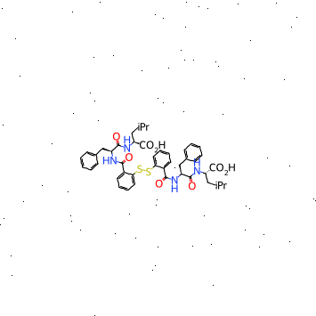 CC(C)C[C@H](NC(=O)[C@H](Cc1ccccc1)NC(=O)c1ccccc1SSc1ccccc1C(=O)N[C@@H](Cc1ccccc1)C(=O)N[C@@H](CC(C)C)C(=O)O)C(=O)O